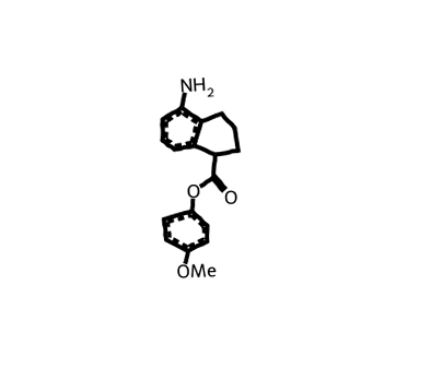 COc1ccc(OC(=O)C2CCCc3c(N)cccc32)cc1